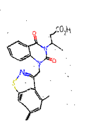 Cc1cc(C)c2c(Cn3c(=O)n(C(C)CC(=O)O)c(=O)c4ccccc43)nsc2c1